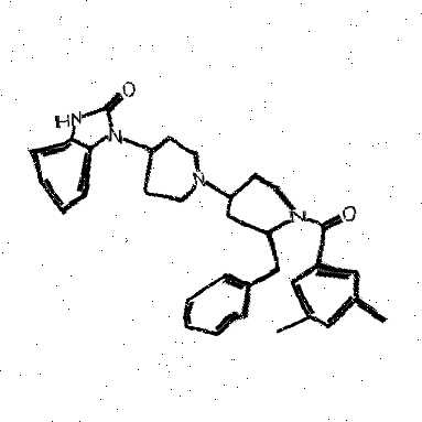 Cc1cc(C)cc(C(=O)N2CCC(N3CCC(n4c(=O)[nH]c5ccccc54)CC3)CC2Cc2ccccc2)c1